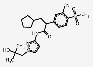 CC(C)(O)Cn1ccc(NC(=O)C(CC2CCCC2)c2ccc(S(C)(=O)=O)c(C#N)c2)n1